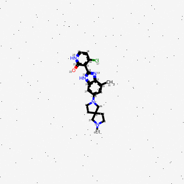 CCN1CCC2(CCN(c3cc(C)c4nc(-c5c(Cl)cc[nH]c5=O)[nH]c4c3)C2)C1